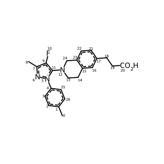 Cc1ccc(-n2nc(C)c(F)c2N2CCc3cc(CCC(=O)O)ccc3C2)cc1